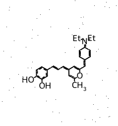 CC[N+](CC)=C1C=CC(=CC2=C/C(=C/C=C/c3ccc(O)c(O)c3)C=C(C)O2)C=C1